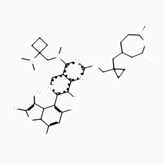 C[C@@H]1CCC(CC2(COc3nc(N(C)CC4(N(C)C)CCC4)c4cnc(C5=C(F)C=C(F)C6SC(N)=C(C#N)C56)c(F)c4n3)CC2)C[C@@H](C)O1